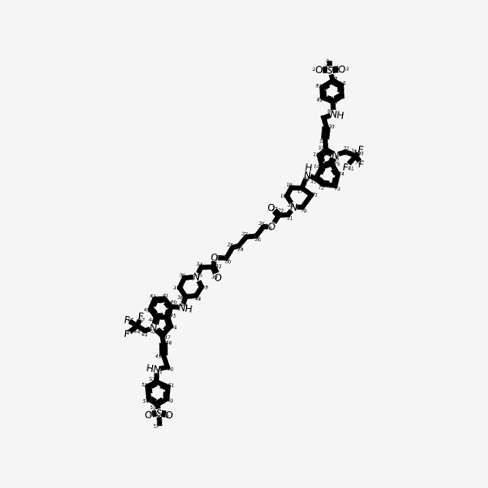 CS(=O)(=O)c1ccc(NCC#Cc2cc3c(NC4CCN(CC(=O)OCCCCCCOC(=O)CN5CCC(Nc6cccc7c6cc(C#CCNc6ccc(S(C)(=O)=O)cc6)n7CC(F)(F)F)CC5)CC4)cccc3n2CC(F)(F)F)cc1